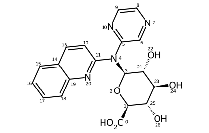 O=C(O)[C@H]1O[C@@H](N(c2cnccn2)c2ccc3ccccc3n2)[C@H](O)[C@@H](O)[C@@H]1O